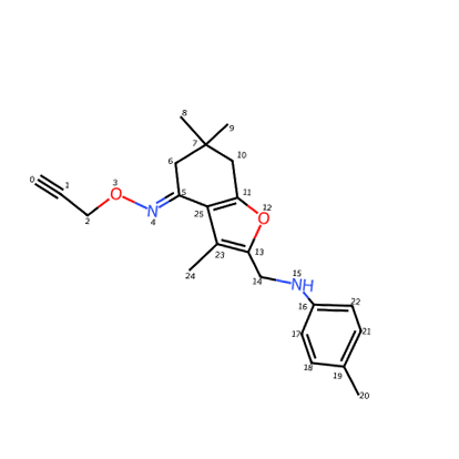 C#CCO/N=C1\CC(C)(C)Cc2oc(CNc3ccc(C)cc3)c(C)c21